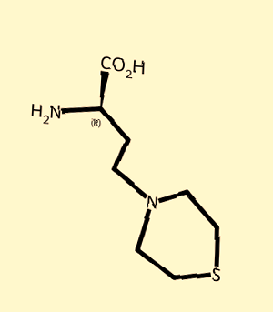 N[C@H](CCN1CCSCC1)C(=O)O